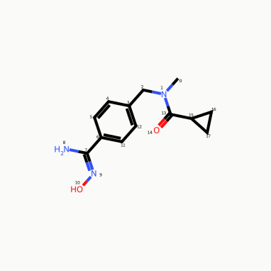 CN(Cc1ccc(/C(N)=N/O)cc1)C(=O)C1CC1